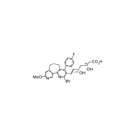 COc1cc2c(cn1)-c1nc(C(C)C)c(/C=C/[C@@H](O)C[C@@H](O)CC(=O)O)c(-c3ccc(F)cc3)c1CCC2